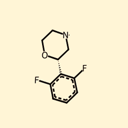 Fc1cccc(F)c1[C@H]1C[N]CCO1